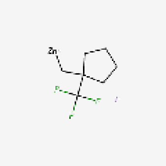 FC(F)(F)C1([CH2][Zn+])CCCC1.[I-]